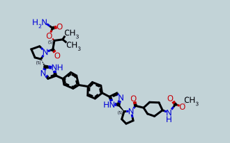 COC(=O)NC1CCC(C(=O)N2CCC[C@H]2c2ncc(-c3ccc(-c4ccc(-c5cnc([C@@H]6CCCN6C(=O)[C@@H](OC(N)=O)C(C)C)[nH]5)cc4)cc3)[nH]2)CC1